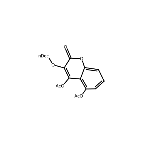 CCCCCCCCCCOc1c(OC(C)=O)c2c(OC(C)=O)cccc2oc1=O